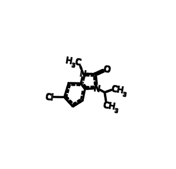 CC(C)n1c(=O)n(C)c2cc(Cl)ccc21